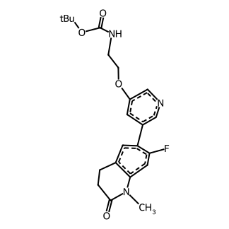 CN1C(=O)CCc2cc(-c3cncc(OCCNC(=O)OC(C)(C)C)c3)c(F)cc21